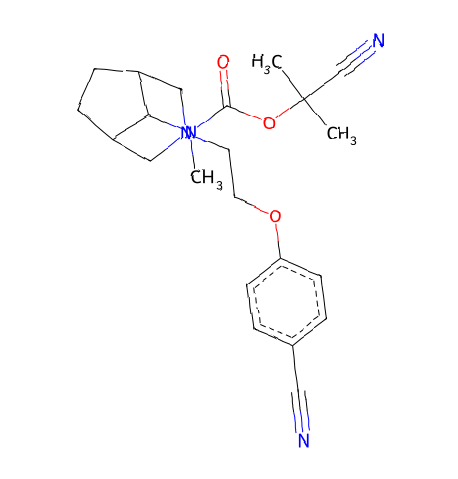 CN(C(=O)OC(C)(C)C#N)C1C2CCC1CN(CCOc1ccc(C#N)cc1)C2